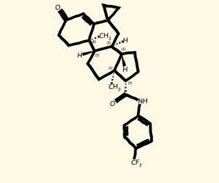 C[C@]12CC[C@H]3[C@@H](CC4(CC4)C4=CC(=O)CC[C@@]43C)[C@@H]1CC[C@@H]2C(=O)Nc1ccc(C(F)(F)F)cc1